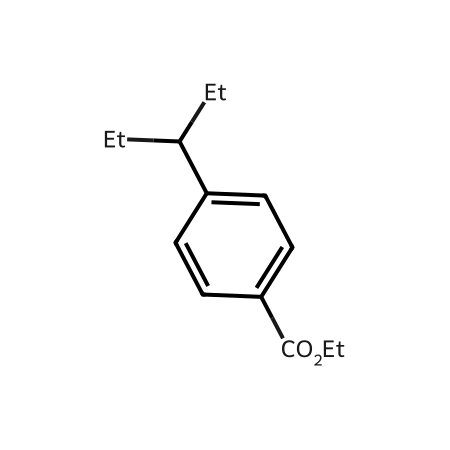 CCOC(=O)c1ccc(C(CC)CC)cc1